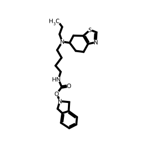 CCCN(CCCCNC(=O)ON1Cc2ccccc2C1)C1CCc2ncsc2C1